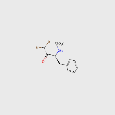 CCOC(=O)N[C@@H](Cc1ccccc1)C(=O)C(Br)Br